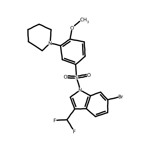 COc1ccc(S(=O)(=O)n2cc(C(F)F)c3ccc(Br)cc32)cc1N1CCCCC1